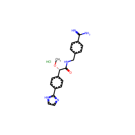 CO[C@H](C(=O)NCc1ccc(C(=N)N)cc1)c1ccc(-c2ncc[nH]2)cc1.Cl